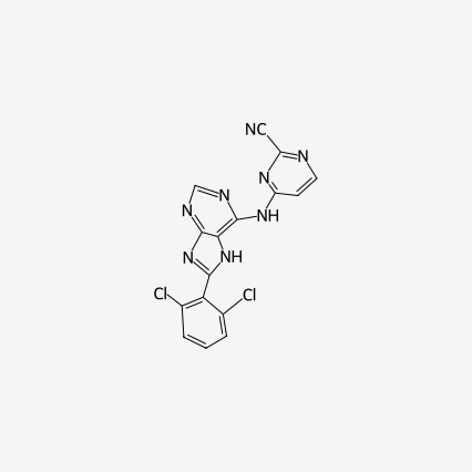 N#Cc1nccc(Nc2ncnc3nc(-c4c(Cl)cccc4Cl)[nH]c23)n1